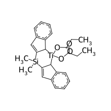 CCC(=O)[O][Ti]1([O]C(=O)CC)[CH]2C(=Cc3ccccc32)[Si](C)(C)C2=Cc3ccccc3[CH]21